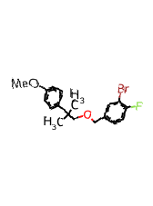 COc1ccc(C(C)(C)COCc2ccc(F)c(Br)c2)cc1